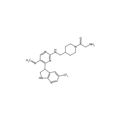 C=Nc1cnc(NCC2CCN(C(=O)CN)CC2)nc1C1CNc2ncc(C(F)(F)F)cc21